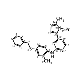 Cc1cc(SCc2ccccc2)ccc1Nc1nccc(-c2cnc(C)n2C(C)C)n1